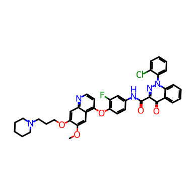 COc1cc2c(Oc3ccc(NC(=O)c4nn(-c5ccccc5Cl)c5ccccc5c4=O)cc3F)ccnc2cc1OCCCN1CCCCC1